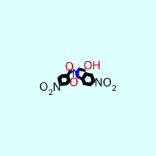 O=C(c1ccc([N+](=O)[O-])cc1)N(CCO)C(=O)c1ccc([N+](=O)[O-])cc1